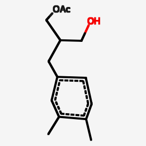 CC(=O)OCC(CO)Cc1ccc(C)c(C)c1